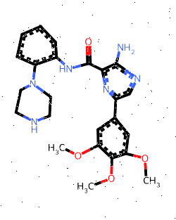 COc1cc(-c2cnc(N)c(C(=O)Nc3ccccc3N3CCNCC3)n2)cc(OC)c1OC